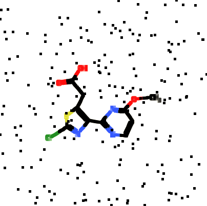 COc1ccnc(-c2nc(Cl)sc2CC(=O)O)n1